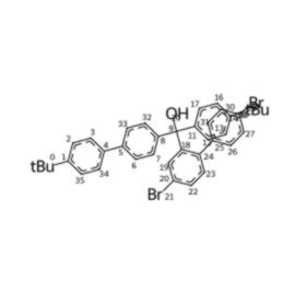 CC(C)(C)c1ccc(-c2ccc(C(O)(c3ccc(C(C)(C)C)cc3)c3cc(Br)ccc3-c3ccc(Br)cc3)cc2)cc1